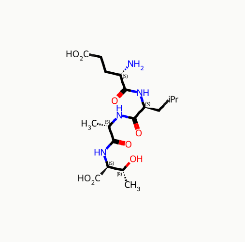 CC(C)C[C@H](NC(=O)[C@@H](N)CCC(=O)O)C(=O)N[C@@H](C)C(=O)N[C@H](C(=O)O)[C@@H](C)O